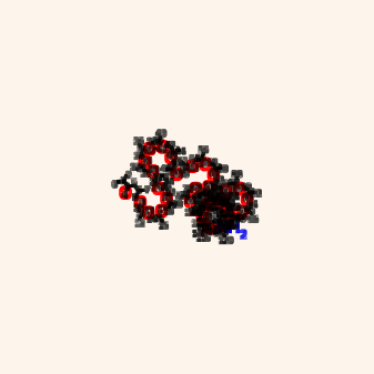 C=C(C)C(=O)CC(C)COCC(C)OCC(C)OCC(C)OCC(C)OCC(C)OCC(C)OCC(C)OCC(C)OCC(C)OCC(C)OCC(C)OCC(C)OCC(C)OCC(C)OCC(C)OCC(C)OCC(C)OCC(C)OCC(C)OCC(C)OCC(C)OCC(C)OCC(C)OCC(C)OCC(C)OCC(C)OCC(C)OCC(C)OCC(C)OCC(C)OCC(C)OCC(C)OCC(C)OCC(C)N